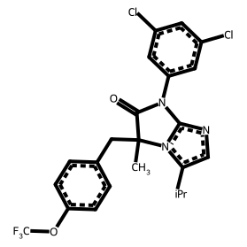 CC(C)c1cnc2n1C(C)(Cc1ccc(OC(F)(F)F)cc1)C(=O)N2c1cc(Cl)cc(Cl)c1